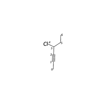 CC#CC(Cl)CC